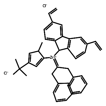 C=Cc1ccc2c(c1)-c1cc(C=C)ccc1[CH]2[Zr+2]([C]1=CC(C(C)(C)C)=CC1C)=[C](Cc1ccccc1)Cc1ccccc1.[Cl-].[Cl-]